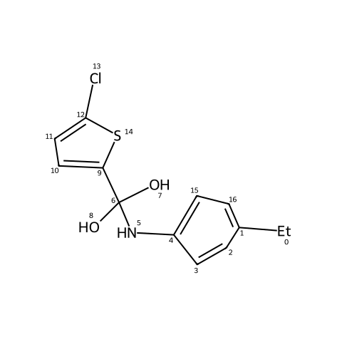 CCc1ccc(NC(O)(O)c2ccc(Cl)s2)cc1